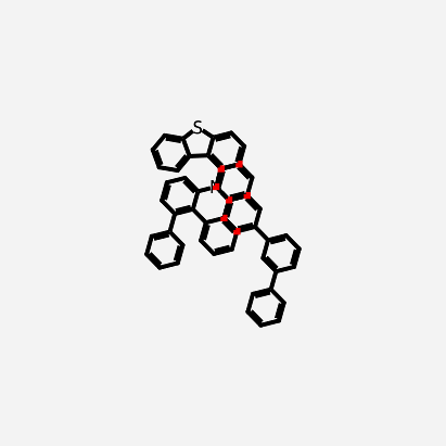 c1ccc(-c2cccc(-c3ccc(N(c4cccc(-c5ccccc5)c4-c4ccccc4-c4ccccc4)c4cccc5sc6ccccc6c45)cc3)c2)cc1